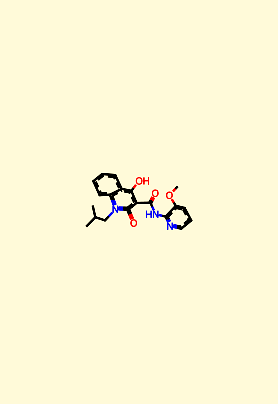 COc1cccnc1NC(=O)c1c(O)c2ccccc2n(CC(C)C)c1=O